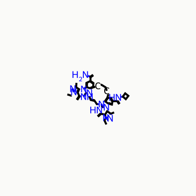 C=C(N)c1cc2c3c(c1)nc(NC(=C)c1cc(C)nn1CC)n3C/C=C/Cn1c(NC(=C)C3CC(C)=NN3CC)nc3cc(C(=C)NC4CCC4)cc(c31)CCCCC2